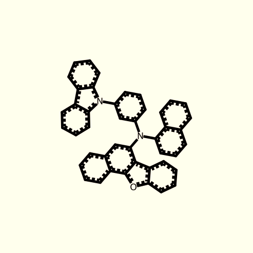 c1cc(N(c2cccc3ccccc23)c2cc3ccccc3c3oc4ccccc4c23)cc(-n2c3ccccc3c3ccccc32)c1